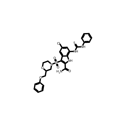 NC(=O)c1[nH]c2c(NC(=S)Nc3ccccc3)cc(Cl)cc2c1S(=O)(=O)N1CCOC(COc2ccccc2)C1